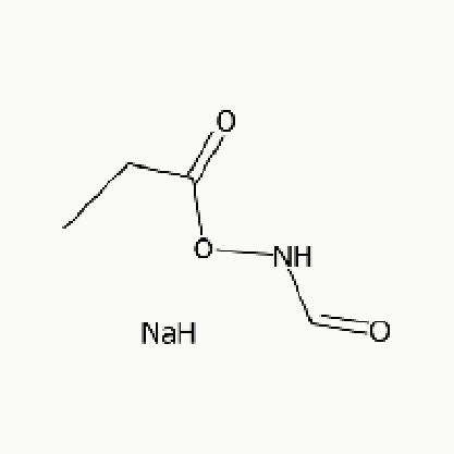 CCC(=O)ONC=O.[NaH]